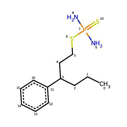 CCCC(CCSP(N)(N)=S)c1ccccc1